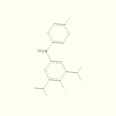 C=C(c1ccc(N)cc1)c1cc(C(C)C)c(N)c(C(C)C)c1